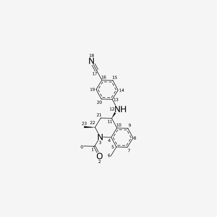 CC(=O)N1c2c(C)cccc2[C@H](Nc2ccc(C#N)cc2)C[C@@H]1C